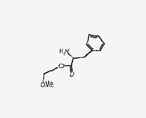 COCCOC(=O)[C@@H](N)Cc1ccccc1